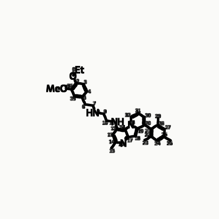 CCOc1ccc(CCNCCNc2cc(C)nc3cc4c(-c5c(C)cc(C)cc5C)cccn4c23)cc1OC